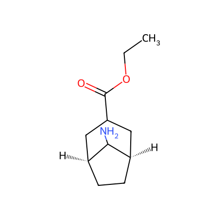 CCOC(=O)C1C[C@H]2CC[C@@H](C1)C2N